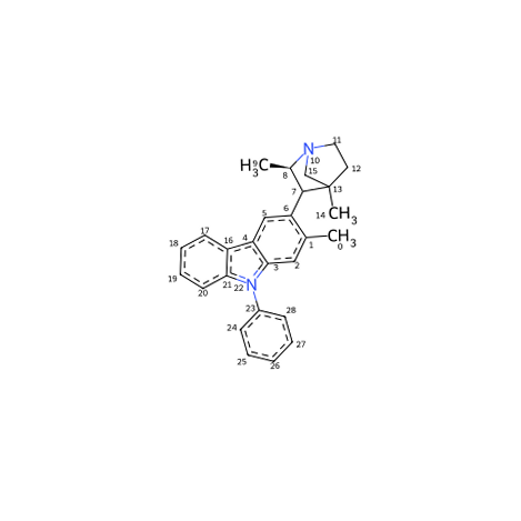 Cc1cc2c(cc1C1[C@@H](C)N3CCC1(C)C3)c1ccccc1n2-c1ccccc1